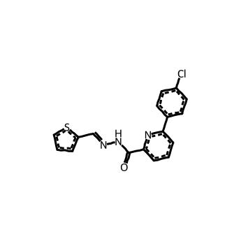 O=C(N/N=C/c1cccs1)c1cccc(-c2ccc(Cl)cc2)n1